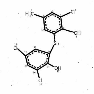 Cc1cc(Cl)c(O)c(Sc2cc(Cl)cc(Cl)c2O)c1